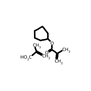 C=C(C)C(=O)O.C=C(C)C(=O)OC1CCCCC1